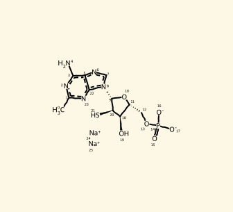 Cc1nc(N)c2ncn([C@@H]3O[C@H](COP(=O)([O-])[O-])[C@@H](O)[C@H]3S)c2n1.[Na+].[Na+]